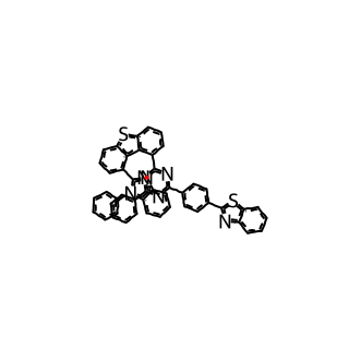 c1ccc(-c2nc(-c3ccc(-c4nc5ccccc5s4)cc3)nc(-c3cccc4sc5cccc(-c6nc7ccccc7n6-c6ccccc6)c5c34)n2)cc1